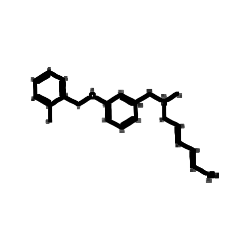 Cc1ccccc1COc1cccc(CN(C)CC=CC=CC(C)(C)C)c1